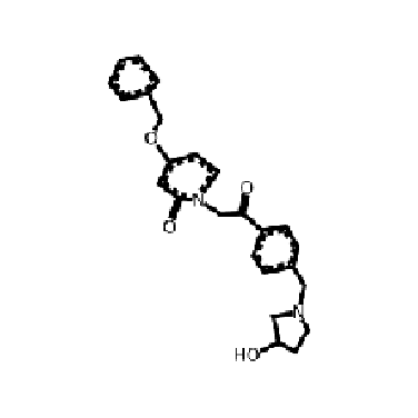 O=C(Cn1ccc(OCc2ccccc2)cc1=O)c1ccc(CN2CCC(O)C2)cc1